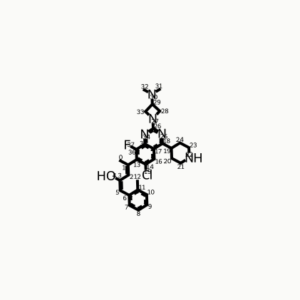 C/C(=C\C(O)=C/c1ccccc1C)c1c(Cl)cc2c(C3CCNCC3)nc(N3CC(N(C)C)C3)nc2c1F